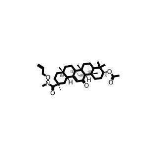 C=CCON(C)C(=O)[C@@]1(C)CC[C@]2(C)CC[C@]3(C)C(=CC(=O)[C@@H]4[C@@]5(C)CC[C@H](OC(C)=O)C(C)(C)C5CC[C@]43C)[C@@H]2C1